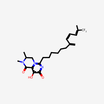 C=C(/C=C\C=C(/C)C(F)(F)F)CCCCCCc1nc(=O)c(O)c2n1CC(C)N(C)C2=O